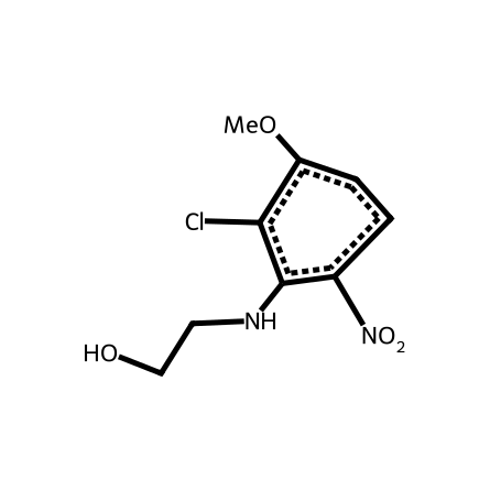 COc1ccc([N+](=O)[O-])c(NCCO)c1Cl